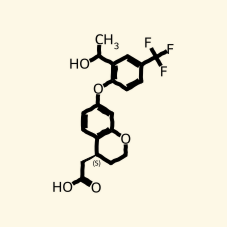 CC(O)c1cc(C(F)(F)F)ccc1Oc1ccc2c(c1)OCC[C@H]2CC(=O)O